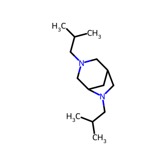 CC(C)CN1CC2CC(C1)N(CC(C)C)C2